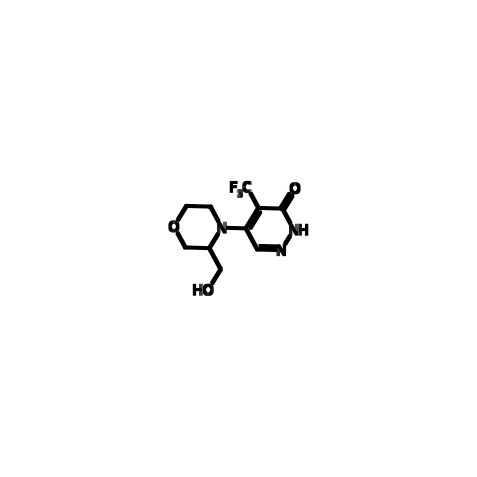 O=c1[nH]ncc(N2CCOCC2CO)c1C(F)(F)F